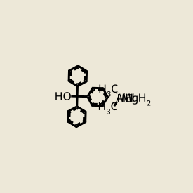 Cl.OC(c1ccccc1)(c1ccccc1)c1ccccc1.[CH3][AlH][CH3].[MgH2]